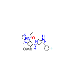 C=CC(=O)Nc1cc(Nc2cc3c(-c4cccc(F)c4)n[nH]c3cn2)c(OC)cc1N(C)C1CCN(C)C1